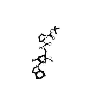 COc1nc(N2CCc3ccccc32)c(F)cc1CNC(=O)[C@@H]1CCCN1C(=O)OC(C)(C)C